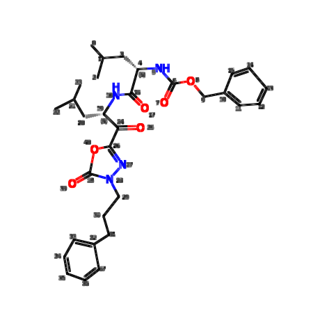 CC(C)C[C@H](NC(=O)OCc1ccccc1)C(=O)N[C@@H](CC(C)C)C(=O)c1nn(CCCc2ccccc2)c(=O)o1